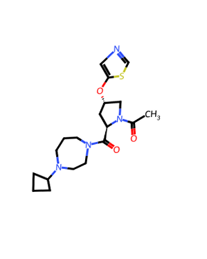 CC(=O)N1C[C@@H](Oc2cncs2)C[C@@H]1C(=O)N1CCCN(C2CCC2)CC1